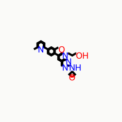 Cc1cccc(-c2ccc(-c3cc4cnc(NC5COC5)nc4n(CCCO)c3=O)c(C)c2)n1